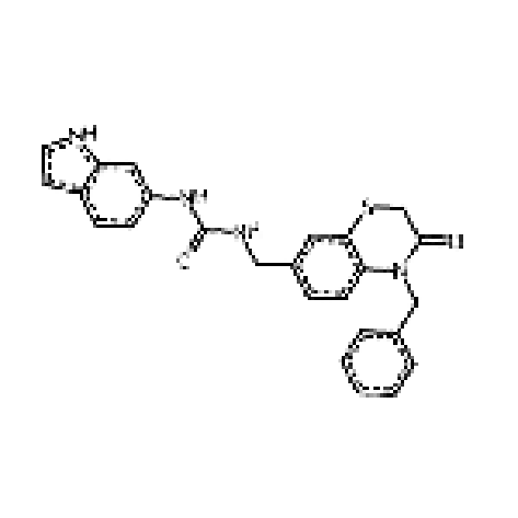 O=C(NCc1ccc2c(c1)SCC(=O)N2Cc1ccccc1)Nc1ccc2cc[nH]c2c1